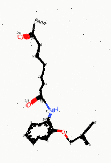 C=C(C)COc1ccccc1NC(=O)CCCCCC(=O)OC